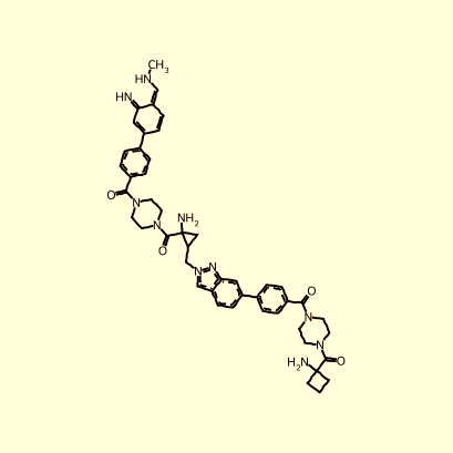 CN/C=C1/C=CC(c2ccc(C(=O)N3CCN(C(=O)C4(N)CC4Cn4cc5ccc(-c6ccc(C(=O)N7CCN(C(=O)C8(N)CCC8)CC7)cc6)cc5n4)CC3)cc2)=CC1=N